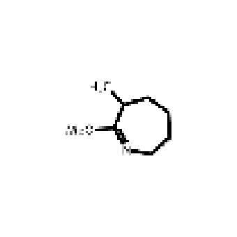 COC1=NCCCCC1C